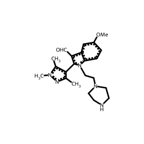 COc1ccc2c(c1)c(C=O)c(-c1c(C)nn(C)c1C)n2CCN1CCNCC1